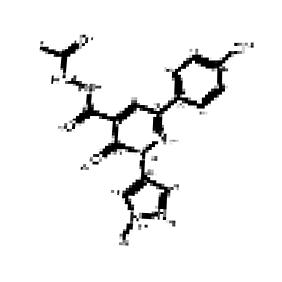 CC(=O)NNC(=O)c1cc(-c2ccc(Cl)cc2)nn(-c2cnn(C)c2)c1=O